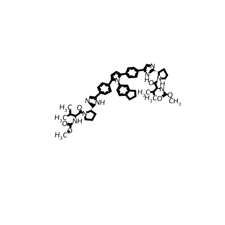 COC(=O)N[C@H](C(=O)N1CCC[C@H]1c1ncc(-c2ccc(-c3ccc(-c4ccc(-c5cnc([C@@H]6CCCN6C(=O)[C@@H](NC(=O)OC)C(C)C)[nH]5)cc4)n3-c3ccc4c(c3)CCC4)cc2)[nH]1)C(C)C